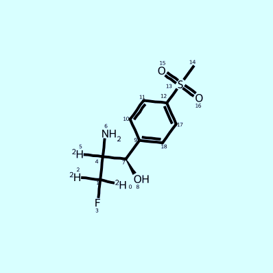 [2H]C([2H])(F)C([2H])(N)[C@H](O)c1ccc(S(C)(=O)=O)cc1